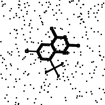 O=c1[nH]c2c(C(F)(F)F)cc(Cl)cc2c(=O)o1